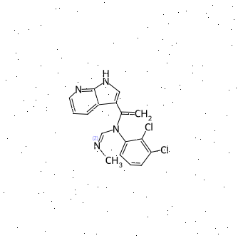 C=C(c1c[nH]c2ncccc12)N(/C=N\C)c1cccc(Cl)c1Cl